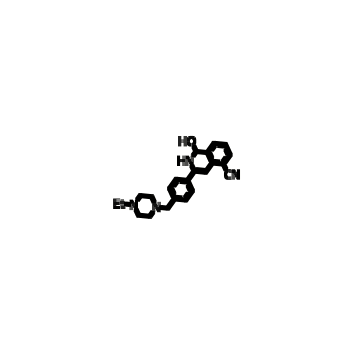 CCN1CCN(Cc2ccc(C3=Cc4c(C#N)cccc4C(O)N3)cc2)CC1